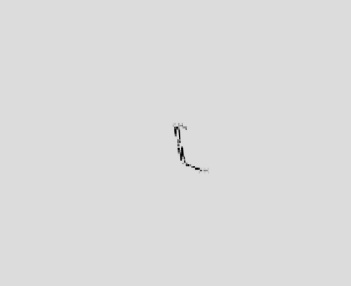 C=C=PS